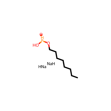 CCCCCCCCO[PH](=O)O.[NaH].[NaH]